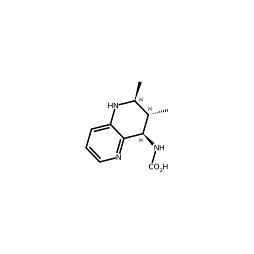 C[C@H]1[C@H](C)Nc2cccnc2[C@@H]1NC(=O)O